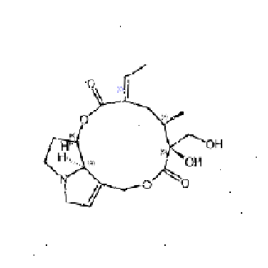 C/C=C1\C[C@@H](C)[C@](O)(CO)C(=O)OCC2=CCN3CC[C@@H](OC1=O)[C@@H]23